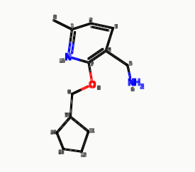 Cc1ccc(CN)c(OCC2CCCC2)n1